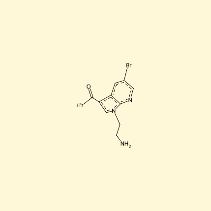 CC(C)C(=O)c1cn(CCN)c2ncc(Br)cc12